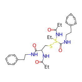 CCC(=O)NC(CSS(CC)(NC(=O)CC)C(=O)NCCc1ccccc1)C(=O)NCCc1ccccc1